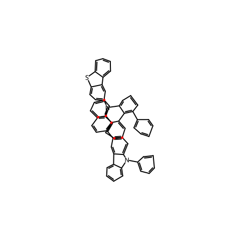 c1ccc(-c2ccccc2-c2c(-c3ccccc3)cccc2N(c2cccc(-c3ccc4c(c3)c3ccccc3n4-c3ccccc3)c2)c2ccc3sc4ccccc4c3c2)cc1